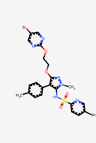 Cc1ccc(-c2c(OCCOc3ncc(Br)cn3)nn(C)c2NS(=O)(=O)c2ccc(C(C)C)cn2)cc1